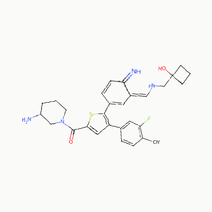 N#Cc1ccc(-c2cc(C(=O)N3CCCC(N)C3)sc2C2=C/C(=C/NCC3(O)CCC3)C(=N)C=C2)cc1F